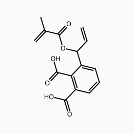 C=CC(OC(=O)C(=C)C)c1cccc(C(=O)O)c1C(=O)O